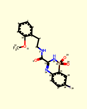 O=C(NCCc1ccccc1OC(F)(F)F)C1=Nc2ccc(I)cc2S(=O)(=O)N1